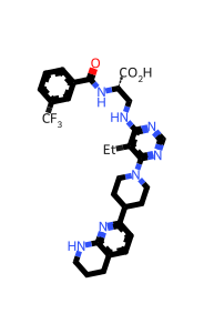 CCc1c(NC[C@H](NC(=O)c2cccc(C(F)(F)F)c2)C(=O)O)ncnc1N1CCC(c2ccc3c(n2)NCCC3)CC1